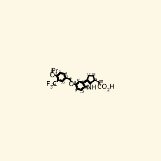 CC(C)Oc1ccc(COc2ccc3[nH]c4c(c3c2)CC[C@H]4CC(=O)O)cc1C(F)(F)F